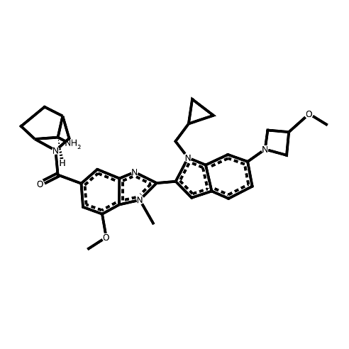 COc1cc(C(=O)N2CC3CCC2[C@@H]3N)cc2nc(-c3cc4ccc(N5CC(OC)C5)cc4n3CC3CC3)n(C)c12